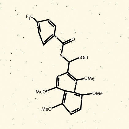 CCCCCCCCC(SC(=O)c1ccc(C(F)(F)F)cc1)c1cc(OC)c2c(OC)ccc(OC)c2c1OC